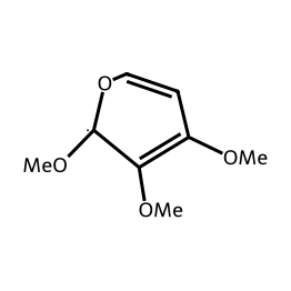 CO[C]1OC=CC(OC)=C1OC